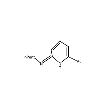 CCCCCN=c1cccc(C(C)=O)[nH]1